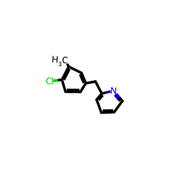 Cc1cc(Cc2ccccn2)ccc1Cl